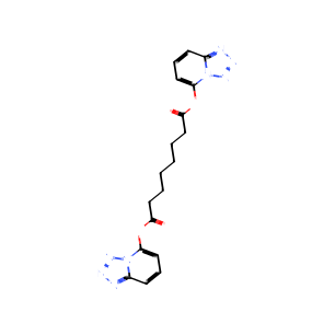 O=C(CCCCCCC(=O)Oc1cccc2nnnn12)Oc1cccc2nnnn12